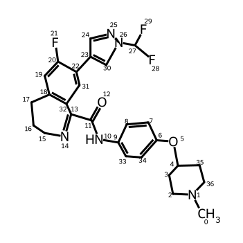 CN1CCC(Oc2ccc(NC(=O)C3=NCCCc4cc(F)c(-c5cnn(C(F)F)c5)cc43)cc2)CC1